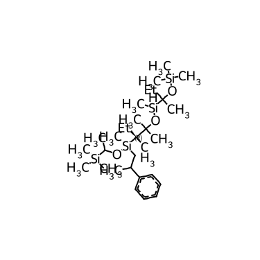 CCC(C)(O[Si](C)(C)C)[SiH](C)OC(C)(C)[C@@](C)(CC)[Si](C)(CC(C)c1ccccc1)OC(C)[Si](C)(C)C